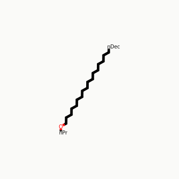 [CH2]CCCCCCCCCCCCCCCCCCCCCCCCCCOCCC